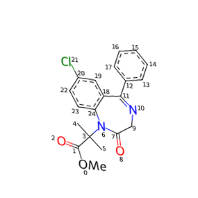 COC(=O)C(C)(C)N1C(=O)CN=C(c2ccccc2)c2cc(Cl)ccc21